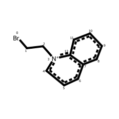 BrCC[n+]1cccc2ccccc21